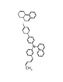 C/C=C\C=C/c1cccc(N(c2ccc(C3C=CC(C[C@H]4C=c5ccccc5=C5C=CCCC54)=CC3)cc2)c2cccc3ccccc23)c1